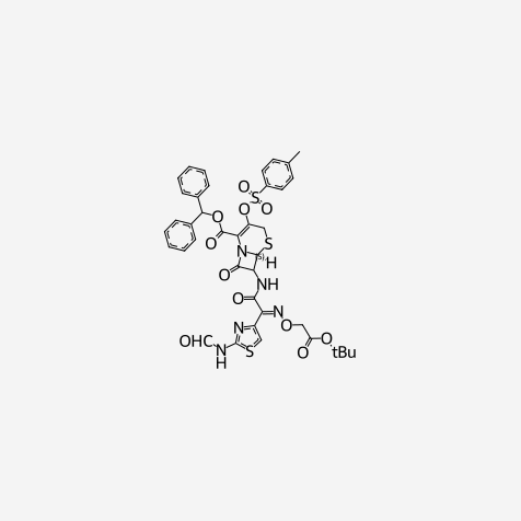 Cc1ccc(S(=O)(=O)OC2=C(C(=O)OC(c3ccccc3)c3ccccc3)N3C(=O)C(NC(=O)C(=NOCC(=O)OC(C)(C)C)c4csc(NC=O)n4)[C@@H]3SC2)cc1